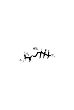 CC(C(=O)OCCC(F)(F)C(F)(F)C(F)(F)C(F)(F)F)S(=O)(=O)O.[NaH]